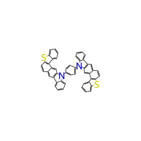 c1ccc2c(c1)sc1ccc3cc4c5ccccc5n(-c5ccc(-n6c7ccccc7c7cc8ccc9sc%10ccccc%10c9c8cc76)cc5)c4cc3c12